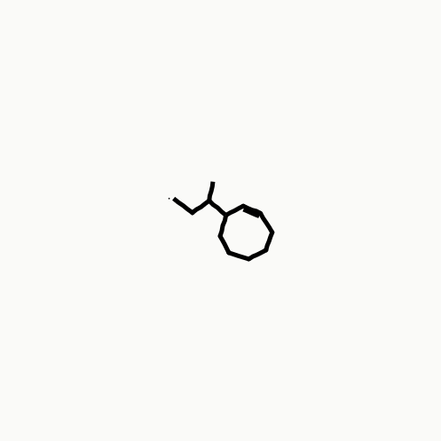 [CH2]CC(C)C1/C=C\CCCCC1